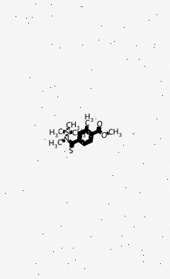 COC(=O)c1ccc(C(=S)N(C)[Si](C)(C)C)cc1C